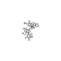 CC(C)OC(=O)[C@@H](C)N[P@](=O)(OC[C@H]1O[C@@H](n2cc(F)c(=O)[nH]c2=O)[C@](C)(F)[C@@H]1O)Oc1ccccc1